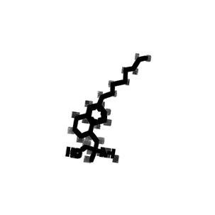 CCCCCCCCc1ccc2c(c1)CCCC2CC(C)(N)CO